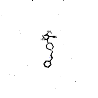 N#Cc1c(N)n[nH]c1N1CCN(C/C=C/c2ccccc2)CC1